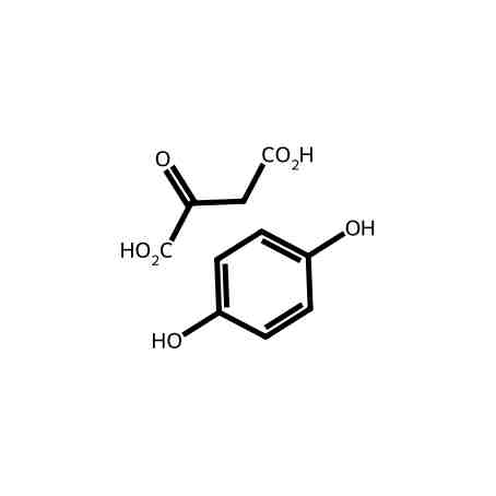 O=C(O)CC(=O)C(=O)O.Oc1ccc(O)cc1